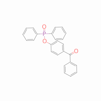 O=C(c1ccccc1)c1ccc(OP(=O)(c2ccccc2)c2ccccc2)cc1